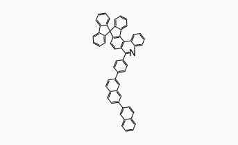 c1ccc2c(c1)-c1ccccc1C21c2ccccc2-c2c1ccc1c(-c3ccc(-c4ccc5ccc(-c6ccc7ccccc7c6)cc5c4)cc3)nc3ccccc3c21